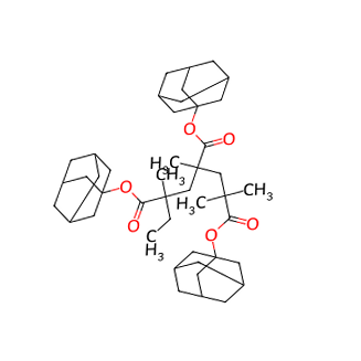 CCC(C)(CC(C)(CC(C)(C)C(=O)OC12CC3CC(CC(C3)C1)C2)C(=O)OC12CC3CC(CC(C3)C1)C2)C(=O)OC12CC3CC(CC(C3)C1)C2